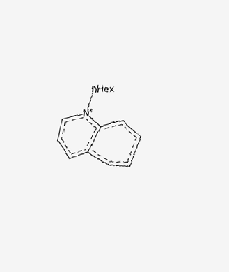 CCCCCC[n+]1cccc2ccccc21